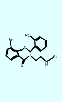 CCNCCOC(=O)c1cccc(C(C)=O)c1OCc1ccccc1O